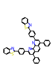 c1ccc(-c2cc(-c3ccc(-c4nc5ccccc5s4)cc3)nc3c2ccc2c(-c4ccccc4)cc(-c4ccc(-c5nc6ccccc6s5)cc4)nc23)cc1